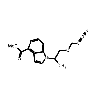 COC(=O)c1cccc2c1ccn2C(C)COCN=[N+]=[N-]